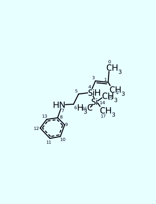 CC(C)=C[SiH](CCNc1ccccc1)[Si](C)(C)C